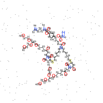 CNC(=O)OC(CCCC(=O)N(CCCCCCSC1CC(=O)N(CCC(=O)CCCCOCC(COCCOC)OCCOC)C1=O)CCCCCCSC1CC(=O)N(CCC(=O)CCCCOCC(COCCOC)OCCOC)C1=O)c1ccc(OC(=O)N(C)CCCN(C)C)cc1